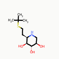 CC(C)(C)SCC[C@H]1NC[C@@H](O)[C@H](O)[C@H]1O